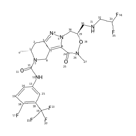 C[C@@H]1Cc2nn3c(c2CN1C(=O)Nc1ccc(F)c(C(F)(F)F)c1)C(=O)N(C)O[C@H](CNCC(F)F)C3